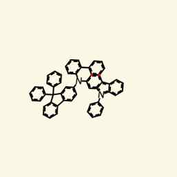 c1ccc(-c2ccccc2N(c2ccc3c(c2)C(c2ccccc2)(c2ccccc2)c2ccccc2-3)c2ccc3c4ccccc4n(-c4ccccc4)c3c2)cc1